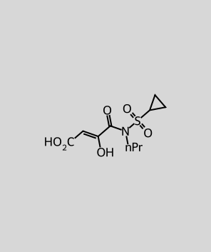 CCCN(C(=O)C(O)=CC(=O)O)S(=O)(=O)C1CC1